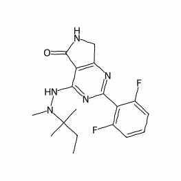 CCC(C)(C)N(C)Nc1nc(-c2c(F)cccc2F)nc2c1C(=O)NC2